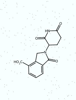 O=C1CCC(N2Cc3c(C(=O)O)cccc3C2=O)C(=O)N1